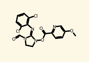 COc1ccc(C(=O)ON2CCN(C=O)C2=Nc2c(Cl)cccc2Cl)nc1